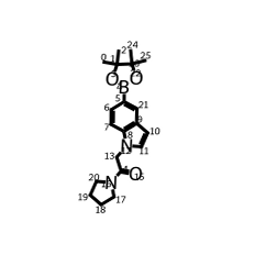 CC1(C)OB(c2ccc3c(ccn3CC(=O)N3CCCC3)c2)OC1(C)C